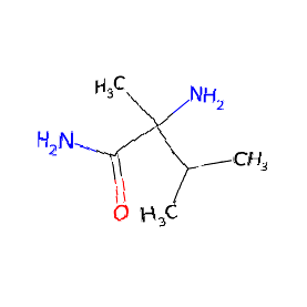 CC(C)C(C)(N)C(N)=O